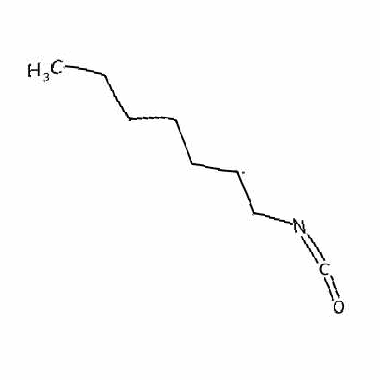 CCCCC[CH]CN=C=O